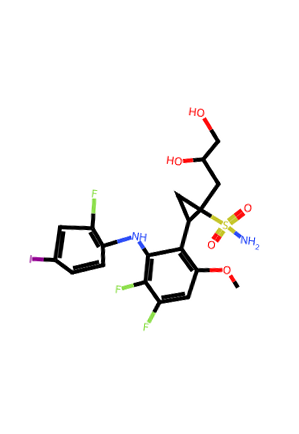 COc1cc(F)c(F)c(Nc2ccc(I)cc2F)c1C1CC1(CC(O)CO)S(N)(=O)=O